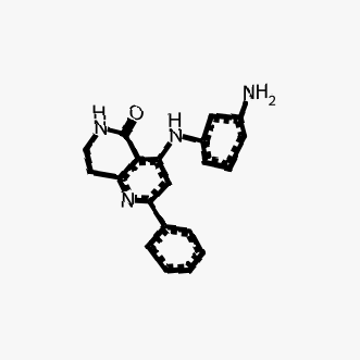 Nc1cccc(Nc2cc(-c3ccccc3)nc3c2C(=O)NCC3)c1